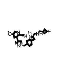 COc1cnc(C#N)c(-c2cn(Cc3ccc4cc(CNCC56CC(F)(C5)C6)[nH]c4c3)nn2)c1